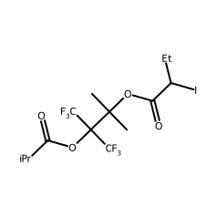 CCC(I)C(=O)OC(C)(C)C(OC(=O)C(C)C)(C(F)(F)F)C(F)(F)F